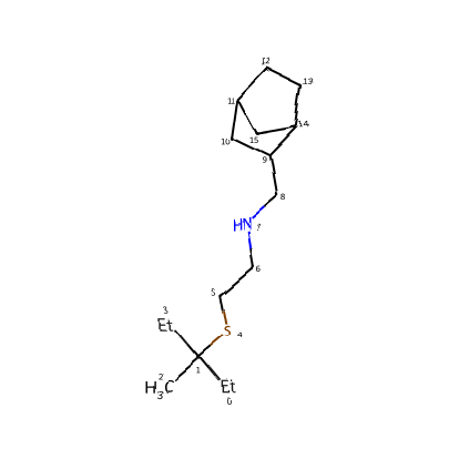 CCC(C)(CC)SCCNCC1CC2CCC1C2